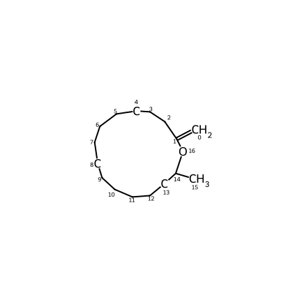 C=C1CCCCCCCCCCCCC(C)O1